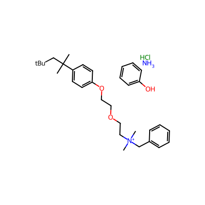 CC(C)(C)CC(C)(C)c1ccc(OCCOCC[N+](C)(C)Cc2ccccc2)cc1.Cl.N.Oc1ccccc1